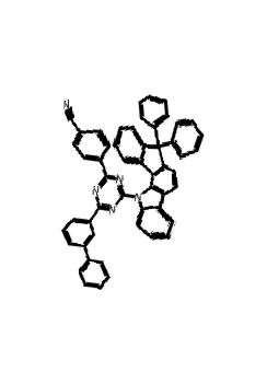 N#Cc1ccc(-c2nc(-c3cccc(-c4ccccc4)c3)nc(-n3c4ccccc4c4ccc5c(c43)-c3ccccc3C5(c3ccccc3)c3ccccc3)n2)cc1